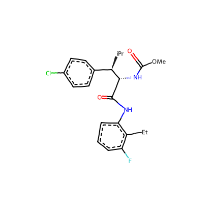 CCc1c(F)cccc1NC(=O)[C@@H](NC(=O)OC)[C@@H](c1ccc(Cl)cc1)C(C)C